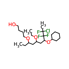 CCOC(CC(CC)OCCCCO)CC(OC1CCCCC1)C(F)(F)C(C)(F)Cl